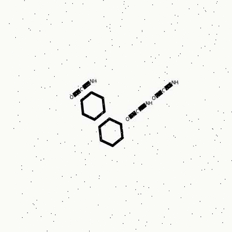 C1CCCCC1.C1CCCCC1.N=C=O.N=C=O.N=C=O